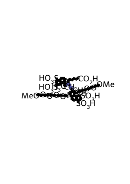 COCCOCCOCCOCCOCCN1C=C(/C=C/C=C2/N(CCCCCC(=O)O)c3ccc4c(S(=O)(=O)O)cc(S(=O)(=O)O)cc4c3C2(C)C)C(C)(CCOCCOCCOCCOC)c2c1ccc1c(S(=O)(=O)O)cc(S(=O)(=O)O)cc21